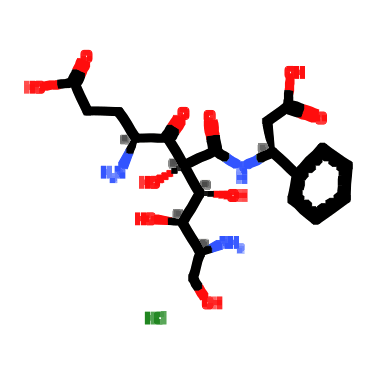 Cl.N[C@@H](CCC(=O)O)C(=O)[C@@](O)(C(=O)N[C@@H](CC(=O)O)c1ccccc1)[C@H](O)[C@H](O)[C@@H](N)CO